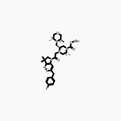 C[C@@H]1CN(CC(=O)N2CC(C)(C)c3nnc(Cc4ccc(F)cc4)cc32)[C@@H](CN2[C@H](C)COC[C@H]2C)CN1C(=O)OC(C)(C)C